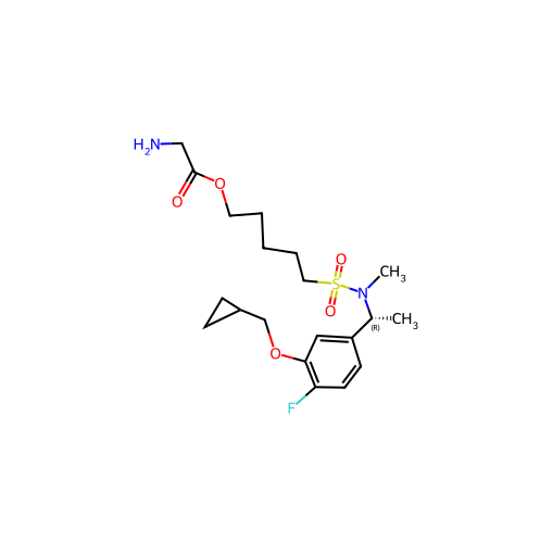 C[C@H](c1ccc(F)c(OCC2CC2)c1)N(C)S(=O)(=O)CCCCCOC(=O)CN